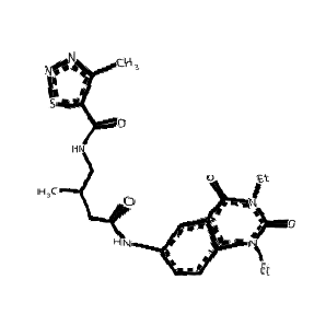 CCn1c(=O)c2cc(NC(=O)CC(C)CNC(=O)c3snnc3C)ccc2n(CC)c1=O